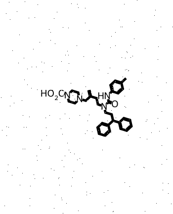 C=C(CCN(CCC(c1ccccc1)c1ccccc1)C(=O)Nc1ccc(C)cc1)CN1CCN(C(=O)O)CC1